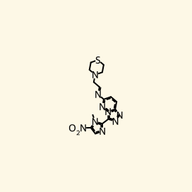 Cn1c([N+](=O)[O-])cnc1-c1nnc2ccc(N=CCN3CCSCC3)nn12